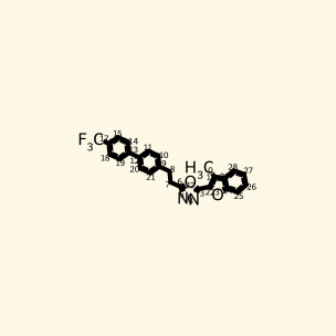 Cc1c(-c2nnc(CCc3ccc(-c4ccc(C(F)(F)F)cc4)cc3)o2)oc2ccccc12